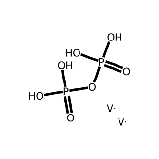 O=P(O)(O)OP(=O)(O)O.[V].[V]